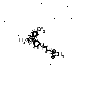 CN(C[C@H]1CC[C@H](OCCCCOS(C)(=O)=O)CC1)S(=O)(=O)c1ccc(C(F)(F)F)cc1